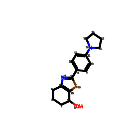 OC1CCCc2nc(-c3ccc(N4CCCC4)cc3)sc21